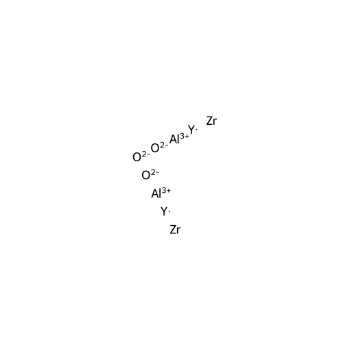 [Al+3].[Al+3].[O-2].[O-2].[O-2].[Y].[Y].[Zr].[Zr]